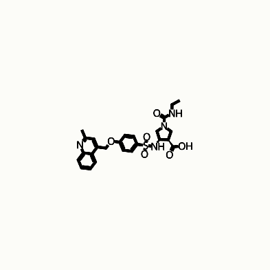 CCNC(=O)N1C[C@H](NS(=O)(=O)c2ccc(OCc3cc(C)nc4ccccc34)cc2)[C@H](C(=O)O)C1